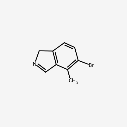 Cc1c(Br)ccc2c1C=NC2